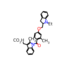 CCN1c2ccccc2CC1COc1ccc(C(=O)n2c(C)c(CC(=O)O)c3ccccc32)c(C)c1